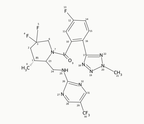 C[C@@H]1CC(F)(F)CN(C(=O)c2cc(F)ccc2-c2nnn(C)n2)C1CNc1ncc(C(F)(F)F)cn1